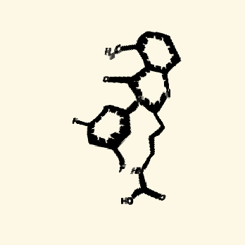 Cc1cccc2nc(CCCNC(=O)O)n(-c3cc(F)cc(F)c3)c(=O)c12